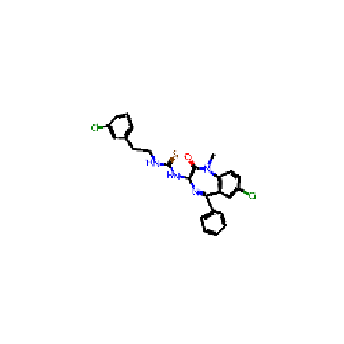 CN1C(=O)C(NC(=S)NCCc2cccc(Cl)c2)N=C(c2ccccc2)c2cc(Cl)ccc21